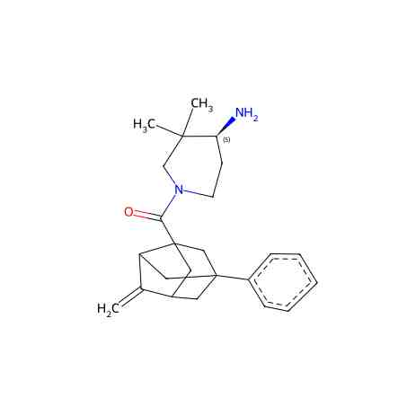 C=C1C2CC3(c4ccccc4)CC1C(C(=O)N1CC[C@H](N)C(C)(C)C1)(C2)C3